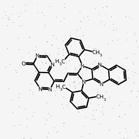 Cc1cccc(C)c1N1C(=C/C=c2/nncc3c2=NC=NC3=O)N(c2c(C)cccc2C)c2nc3ccccc3nc21